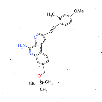 COc1ccc(C#Cc2cnc3c(N)nc4cc(CO[Si](C)(C)C(C)(C)C)ccc4c3c2)c(C)c1